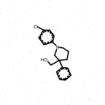 OCC1(c2ccccc2)CCCN(c2ccc(Cl)cc2)C1